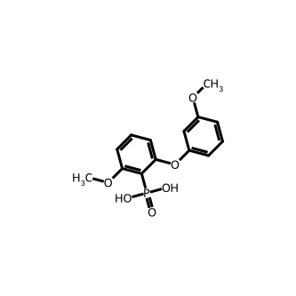 COc1cccc(Oc2cccc(OC)c2P(=O)(O)O)c1